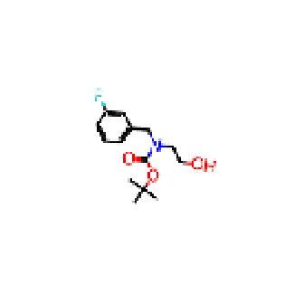 CC(C)(C)OC(=O)N(CCO)Cc1cccc(F)c1